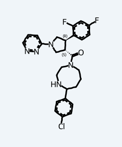 O=C([C@@H]1CN(c2cccnn2)C[C@H]1c1ccc(F)cc1F)N1CCCC(c2ccc(Cl)cc2)NCC1